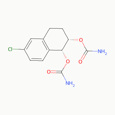 NC(=O)O[C@H]1CCc2cc(Cl)ccc2[C@H]1OC(N)=O